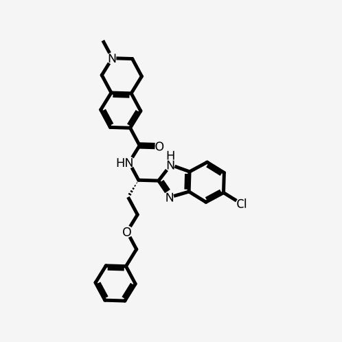 CN1CCc2cc(C(=O)N[C@@H](CCOCc3ccccc3)c3nc4cc(Cl)ccc4[nH]3)ccc2C1